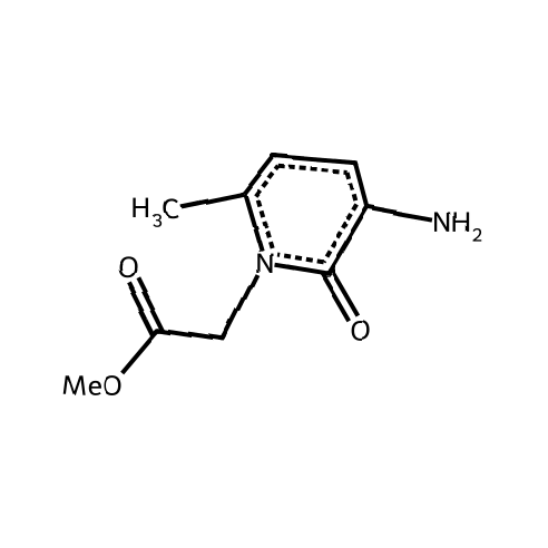 COC(=O)Cn1c(C)ccc(N)c1=O